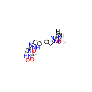 COC(=O)N[C@H](C(=O)N1C2CC2C[C@H]1c1nc2c([nH]1)-c1ccc(-c3ccc4c(ccc5[nH]c([C@@H]6C[C@H]7C[C@H]7N6C(=O)CC(C)C)nc54)c3)cc1CC2)C(C)C